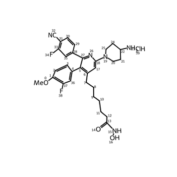 COc1ccc(-c2c(CCCCCCC(=O)NO)cc(N3CCC(N)CC3)nc2-c2ccc(C#N)c(F)c2)cc1F.Cl